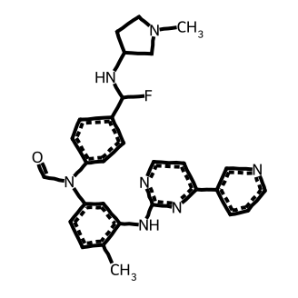 Cc1ccc(N(C=O)c2ccc(C(F)NC3CCN(C)C3)cc2)cc1Nc1nccc(-c2cccnc2)n1